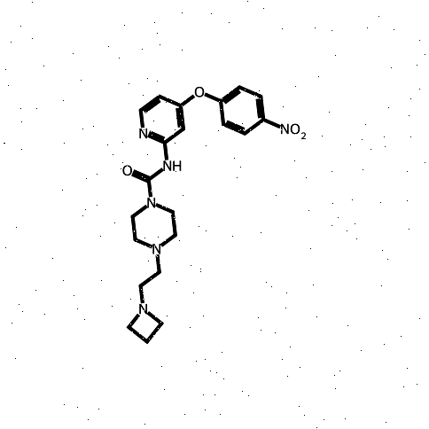 O=C(Nc1cc(Oc2ccc([N+](=O)[O-])cc2)ccn1)N1CCN(CCN2CCC2)CC1